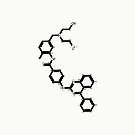 Cc1ccc(CN(CCO)CCO)cc1NC(=O)c1ccc(Nc2nc(-c3ccccc3)c3ccccc3n2)cc1